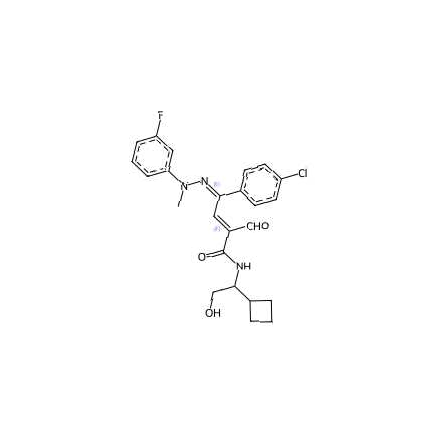 CN(/N=C(\C=C(/C=O)C(=O)NC(CO)C1CCC1)c1ccc(Cl)cc1)c1cccc(F)c1